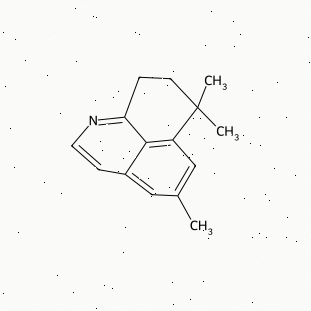 Cc1cc2c3c(nccc3c1)CCC2(C)C